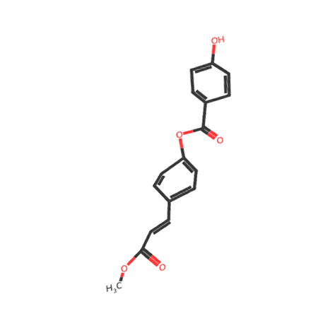 COC(=O)/C=C/c1ccc(OC(=O)c2ccc(O)cc2)cc1